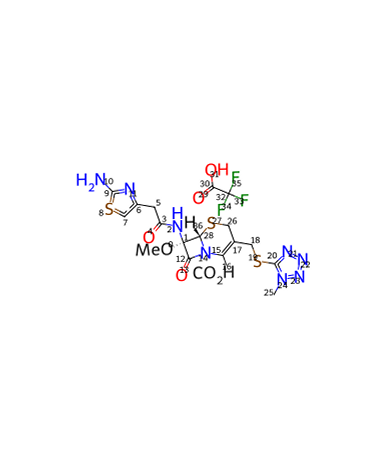 CO[C@@]1(NC(=O)Cc2csc(N)n2)C(=O)N2C(C(=O)O)=C(CSc3nnnn3C)CS[C@H]21.O=C(O)C(F)(F)F